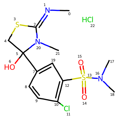 CN=C1SCC(O)(c2ccc(Cl)c(S(=O)(=O)N(C)C)c2)N1C.Cl